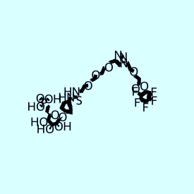 O=C(CCOCCn1cc(COCCOCCOCCNC(=S)Nc2ccc(O[C@H]3O[C@H](CCP(=O)(O)O)[C@@H](O)[C@H](O)[C@@H]3O)cc2)nn1)Oc1c(F)c(F)c(F)c(F)c1F